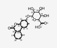 O=C(O)C1OC(Oc2ccc3c(c2)oc(=O)c2ccccc23)C(O)C(O)C1O